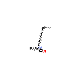 CCCCCC=CCC=CCC=CCC=CCCCCN[C@@H](Cc1ccc(O)cc1)C(=O)O